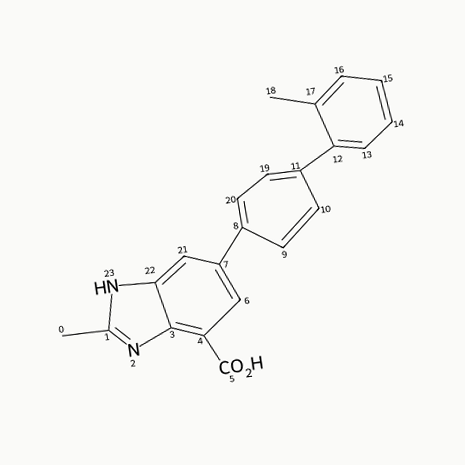 Cc1nc2c(C(=O)O)cc(-c3ccc(-c4ccccc4C)cc3)cc2[nH]1